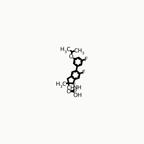 CC(C)Oc1cc(F)cc(-c2cc3c(cc2F)[C@H](NC(=O)O)C(C)(C)C3)c1